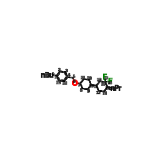 CCCCc1ccc(COC2CCC(C3CCC(CCC)C(F)(F)C3)CC2)cc1